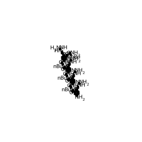 CCCC[C@H](NC(=O)c1cc(NC(=O)[C@H](CCCC)NC(=O)c2cc(NC(=O)[C@H](CCCC)NC(=O)c3cc(NC(=O)[C@H](CCCC)NC(=O)c4cc(N)ccc4OCCNC(=N)N)ccc3OCCNC(=N)N)ccc2OCCNC(=N)N)ccc1OCCNC(=N)N)C(N)=O